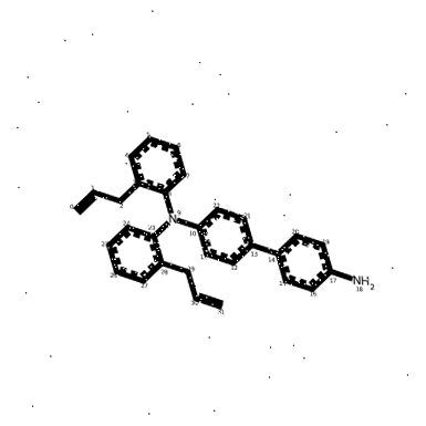 C=CCc1ccccc1N(c1ccc(-c2ccc(N)cc2)cc1)c1ccccc1CC=C